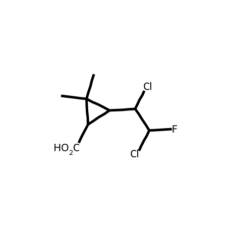 CC1(C)C(C(=O)O)C1C(Cl)C(F)Cl